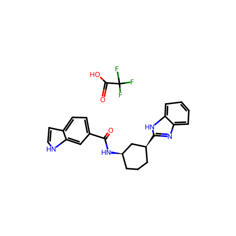 O=C(N[C@@H]1CCC[C@H](c2nc3ccccc3[nH]2)C1)c1ccc2cc[nH]c2c1.O=C(O)C(F)(F)F